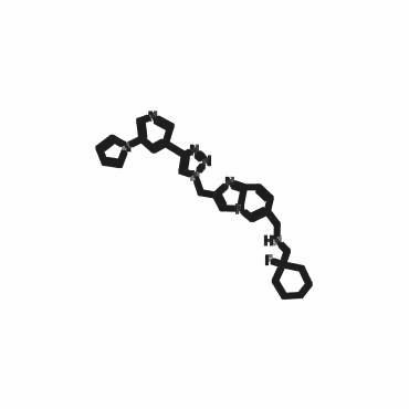 FC1(CNCc2ccc3nc(Cn4cc(-c5cncc(-n6cccc6)c5)nn4)cn3c2)CCCCC1